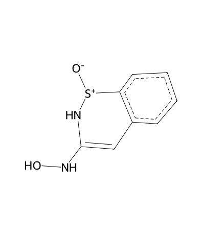 [O-][S+]1NC(NO)=Cc2ccccc21